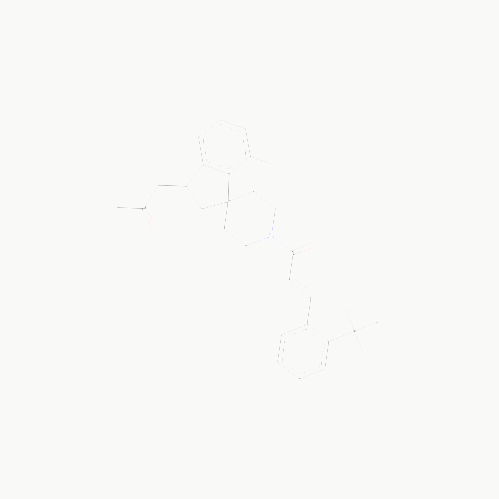 CC(=O)CC1CC2(CCN(C(=O)/C=C/c3ccccc3C(F)(F)F)CC2)c2c(Cl)cccc21